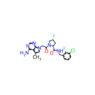 Cc1cn(CC(=O)N2C[C@H](F)C[C@H]2C(=O)NCc2cccc(Cl)c2F)c2ncnc(N)c12